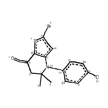 CC1(C)CC(=O)c2sc(Br)cc2N1c1ccc(Cl)cc1